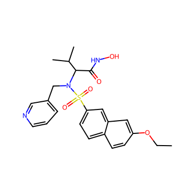 CCOc1ccc2ccc(S(=O)(=O)N(Cc3cccnc3)C(C(=O)NO)C(C)C)cc2c1